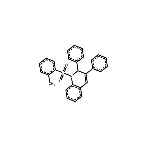 Cc1ccccc1S(=O)(=O)N1c2ccccc2C=C(c2ccccc2)C1c1ccccc1